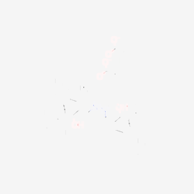 CC(C)(C)c1cc(C=[N+]([Co+2])[N+](=Cc2cc(C(C)(C)C)cc(C(C)(C)C)c2O)C2CCCCC2)c(O)c(C(C)(C)C)c1.O=C([O-])C(F)(F)F.O=C([O-])C(F)(F)F